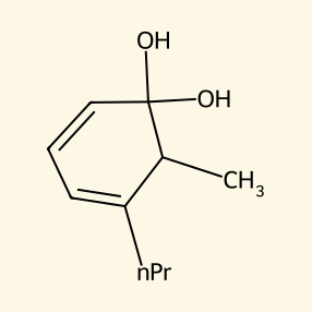 CCCC1=CC=CC(O)(O)C1C